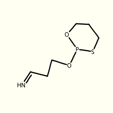 N=CCCOP1OCCCS1